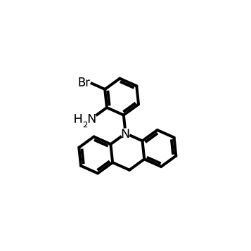 Nc1c(Br)cccc1N1c2ccccc2Cc2ccccc21